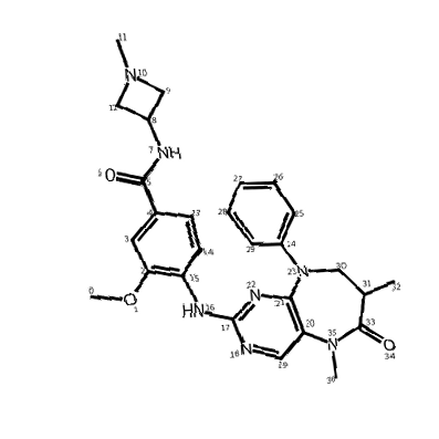 COc1cc(C(=O)NC2CN(C)C2)ccc1Nc1ncc2c(n1)N(c1ccccc1)CC(C)C(=O)N2C